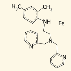 Cc1ccc(NCCN(Cc2ccccn2)Cc2ccccn2)c(C)c1.[Fe]